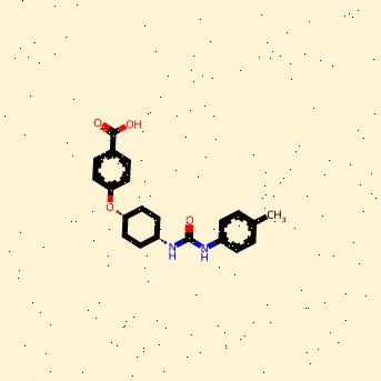 Cc1ccc(NC(=O)N[C@H]2CC[C@@H](Oc3ccc(C(=O)O)cc3)CC2)cc1